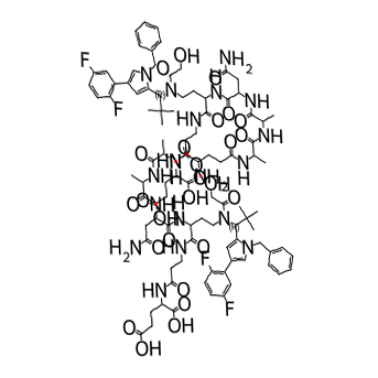 CC(NC(=O)CCC(N)C(=O)NC(C)C(=O)NC(C)C(=O)NC(CC(N)=O)C(=O)NC(CCN(C(=O)CO)[C@@H](c1cc(-c2cc(F)ccc2F)cn1Cc1ccccc1)C(C)(C)C)C(=O)NCCC(=O)NC(CCC(=O)O)C(=O)O)C(=O)NC(C)C(=O)NC(CC(N)=O)C(=O)NC(CCN(C(=O)CO)[C@@H](c1cc(-c2cc(F)ccc2F)cn1Cc1ccccc1)C(C)(C)C)C(=O)NCCC(=O)NC(CCC(=O)O)C(=O)O